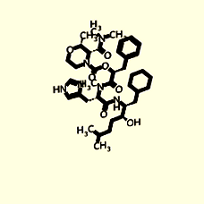 CC(C)CC[C@H](O)[C@H](CC1CCCCC1)NC(=O)[C@H](Cc1c[nH]cn1)N(C)C(=O)[C@H](Cc1ccccc1)OC(=O)N1CCO[C@H](C)[C@@H]1C(=O)N(C)C